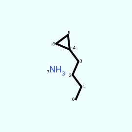 CCCCC1CC1.N